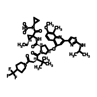 C=C[C@@H]1CC1(NC(=O)[C@@H]1C[C@@H](Oc2cc(-c3csc(NC(C)C)n3)nc3c(C)c(OC)ccc23)CN1C(=O)[C@@H](CC(=O)N1CCC(C(F)(F)F)CC1)C(C)(C)C)C(=O)N(C1CC1)[SH](=O)=O